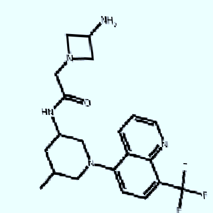 CC1CC(NC(=O)CN2CC(N)C2)CN(c2ccc(C(F)(F)F)c3ncccc23)C1